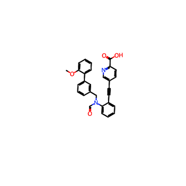 COc1ccccc1-c1cccc(CN(C=O)c2ccccc2C#Cc2ccc(C(=O)O)nc2)c1